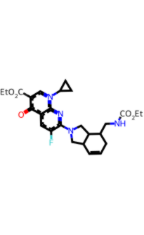 CCOC(=O)NCC1CC=CC2CN(c3nc4c(cc3F)c(=O)c(C(=O)OCC)cn4C3CC3)CC21